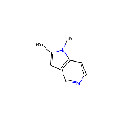 CC(C)n1c(C(C)(C)C)cc2cnccc21